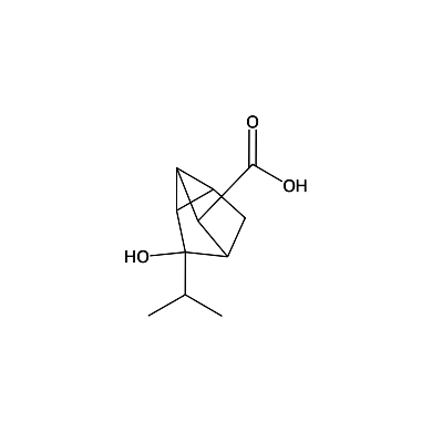 CC(C)C1(O)C2CC3C(C2C(=O)O)C31